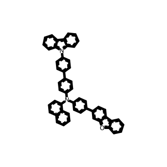 c1ccc2c(N(c3ccc(-c4ccc(-n5c6ccccc6c6ccccc65)cc4)cc3)c3ccc(-c4ccc5c(c4)oc4ccccc45)cc3)cccc2c1